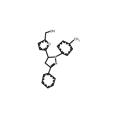 Cc1ccc(N2N=C(c3ccccc3)CC2c2ccc(CO)o2)cc1